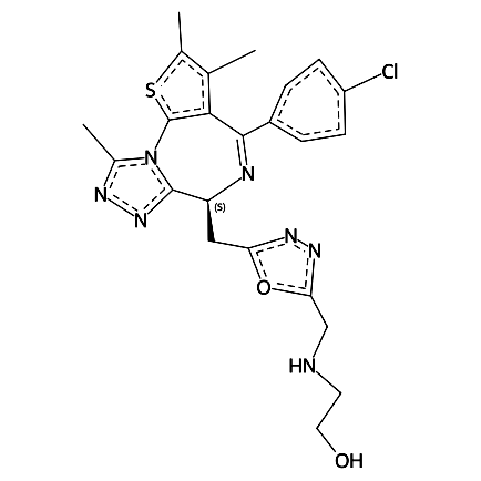 Cc1sc2c(c1C)C(c1ccc(Cl)cc1)=N[C@@H](Cc1nnc(CNCCO)o1)c1nnc(C)n1-2